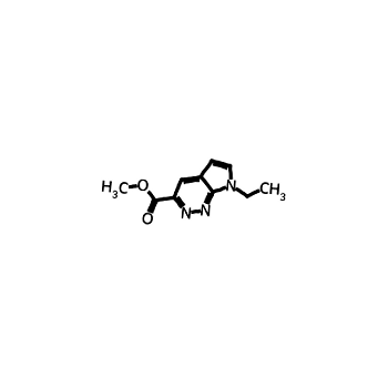 CCn1ccc2cc(C(=O)OC)nnc21